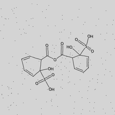 O=C(OC(=O)C1C=CC=CC1(O)S(=O)(=O)O)C1C=CC=CC1(O)S(=O)(=O)O